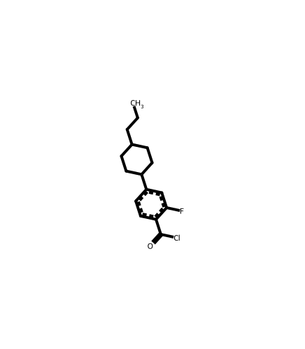 CCCC1CCC(c2ccc(C(=O)Cl)c(F)c2)CC1